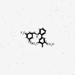 Cc1c(C(=O)O)cc(-c2ccccc2NCc2cc(C(F)(F)F)cc(C(F)(F)F)c2)cc1C(=O)O